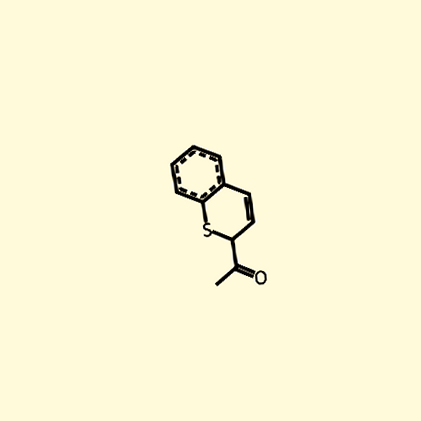 CC(=O)C1C=Cc2ccccc2S1